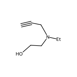 C#CCN(CC)CCO